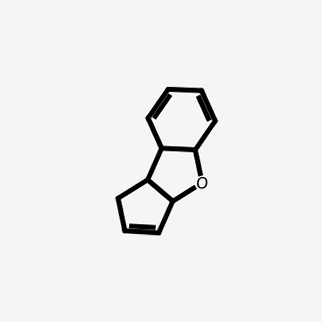 C1=CC2OC3C=CCC3C2C=C1